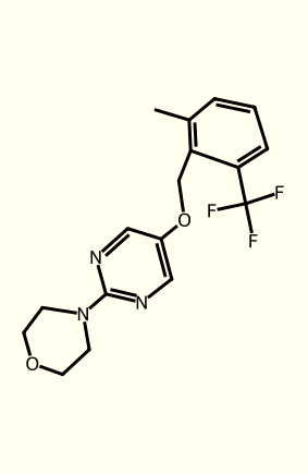 Cc1cccc(C(F)(F)F)c1COc1cnc(N2CCOCC2)nc1